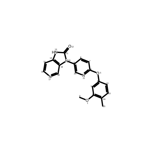 COc1cc(Oc2ccc(-n3c(=O)[nH]c4ccncc43)cn2)ccc1C